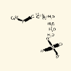 O.O.O.O.O.O.O.O=P[O-].O=S(=O)([O-])[O-].[Co+3]